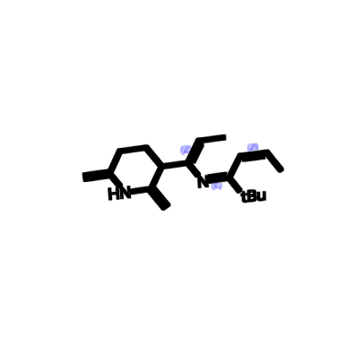 C=C1CCC(C(=C/C)/N=C(\C=C/C)C(C)(C)C)C(=C)N1